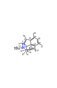 CC1=C(C)[CH]([Ti]([CH3])([CH3])([CH3])([CH3])([SiH3])[NH]C(C)(C)C)c2c(C)c(C)cc(C)c21